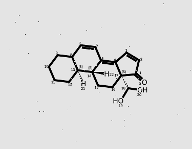 O=C1C=CC2=C3C=CC4CCCC[C@@H]4[C@H]3CC[C@]12C(O)O